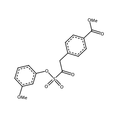 COC(=O)c1ccc(CC(=O)S(=O)(=O)Oc2cccc(OC)c2)cc1